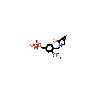 CS(=O)(=O)OCc1ccc(CN2CC3CC3C2=O)c(C(F)(F)F)c1